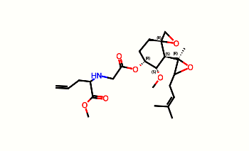 C=CCC(NCC(=O)O[C@@H]1CC[C@]2(CO2)[C@@H]([C@@]2(C)OC2CC=C(C)C)[C@@H]1OC)C(=O)OC